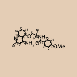 COc1ccc(C(=O)NC(C)(C)COc2cccc3nc(C)cc(N)c23)cc1